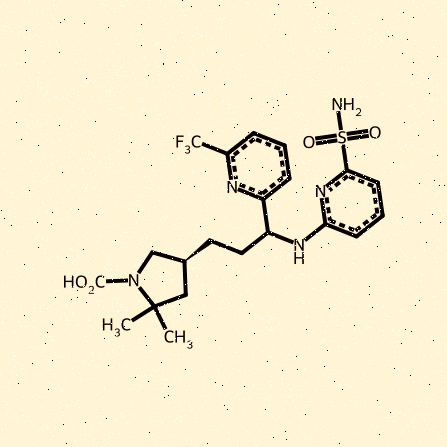 CC1(C)C[C@H](CCC(Nc2cccc(S(N)(=O)=O)n2)c2cccc(C(F)(F)F)n2)CN1C(=O)O